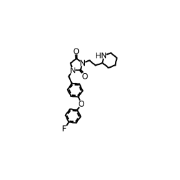 O=C1CN(Cc2ccc(Oc3ccc(F)cc3)cc2)C(=O)N1CCC1CCCCN1